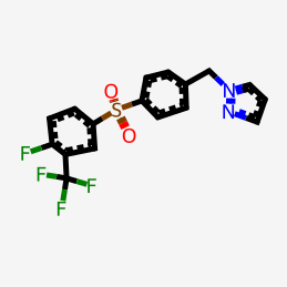 O=S(=O)(c1ccc(Cn2cccn2)cc1)c1ccc(F)c(C(F)(F)F)c1